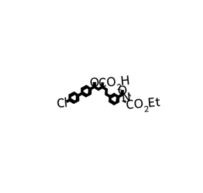 CCOC(=O)CN(C)C(=O)c1cccc(CCC(CC(=O)c2ccc(-c3ccc(Cl)cc3)cc2)C(=O)O)c1